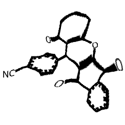 N#Cc1ccc(C2C3=C(CCCC3=O)OC3=C2C(=O)c2ccccc2C3=O)cc1